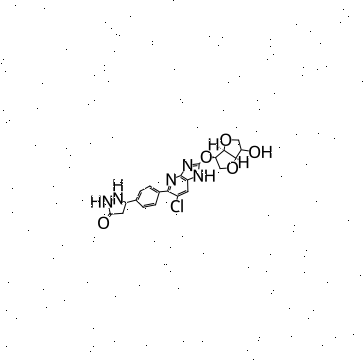 O=C1CC(c2ccc(-c3nc4nc(O[C@@H]5CO[C@@H]6C(O)CO[C@@H]65)[nH]c4cc3Cl)cc2)NN1